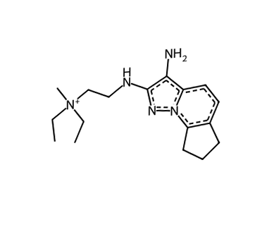 CC[N+](C)(CC)CCNc1nn2c3c(ccc2c1N)CCC3